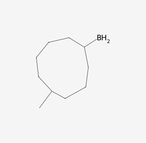 BC1CCCCC(C)CCC1